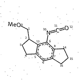 COCC1CCc2cc3c(c(N=C=O)c21)CCC3